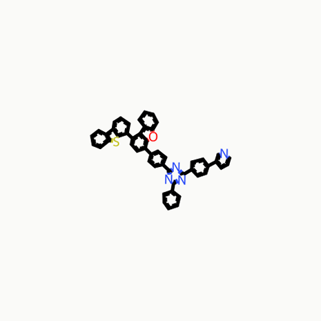 c1ccc(-c2nc(-c3ccc(-c4cccnc4)cc3)nc(-c3ccc(-c4ccc(-c5cccc6c5sc5ccccc56)c5c4oc4ccccc45)cc3)n2)cc1